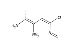 C=N/C(Cl)=C\C(N)=C(/C)N